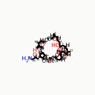 C=C1C[C@@H]2C[C@@]3(O)C[C@H]4O[C@H]5[C@@H](O3)[C@H]3O[C@H](CC[C@@H]3O[C@H]5C4C)CC(=O)C[C@H]3[C@@H](C[C@H](C[C@H](O)CN)[C@@H]3OC)C[C@H]3O[C@@H](CC[C@@H]1O2)C[C@@H](C)C3=C